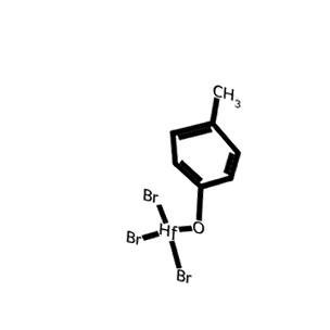 Cc1ccc([O][Hf]([Br])([Br])[Br])cc1